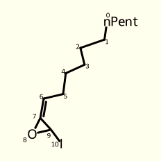 CCCCCCCCCCC=C1OC1I